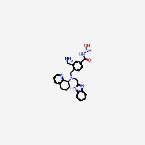 NCc1cc(C(=O)NNO)ccc1CN(Cc1nc2ccccc2[nH]1)C1CCCc2cccnc21